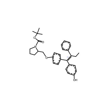 CC/C(=C(\c1ccc(O)cc1)c1ccc(OCC2CCCN2C(=O)OC(C)(C)C)cc1)c1ccccc1